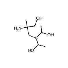 CC(O)N(CC(C)(N)CO)C(C)O